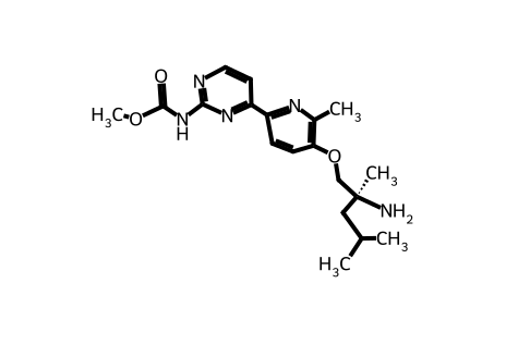 COC(=O)Nc1nccc(-c2ccc(OC[C@@](C)(N)CC(C)C)c(C)n2)n1